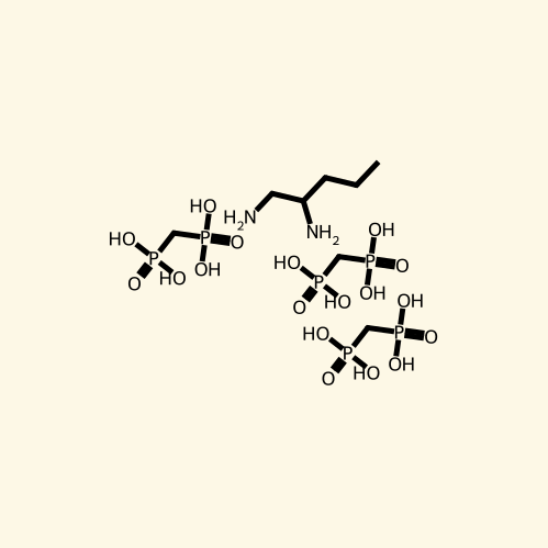 CCCC(N)CN.O=P(O)(O)CP(=O)(O)O.O=P(O)(O)CP(=O)(O)O.O=P(O)(O)CP(=O)(O)O